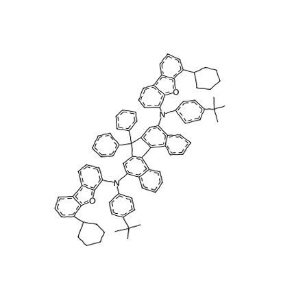 CC(C)(C)c1ccc(N(c2cc3c(c4ccccc24)-c2c(cc(N(c4ccc(C(C)(C)C)cc4)c4cccc5c4oc4c(C6CCCCC6)cccc45)c4ccccc24)C3(c2ccccc2)c2ccccc2)c2cccc3c2oc2c(C4CCCCC4)cccc23)cc1